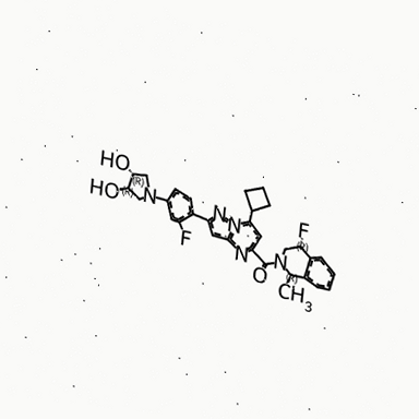 C[C@@H]1c2ccccc2[C@@H](F)CN1C(=O)c1cc(C2CCC2)n2nc(-c3ccc(N4C[C@@H](O)[C@H](O)C4)cc3F)cc2n1